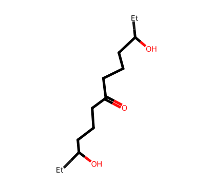 CCC(O)CCCC(=O)CCCC(O)CC